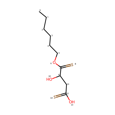 CCCCCCOC(=S)C(O)CC(O)=S